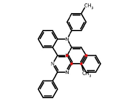 Cc1ccc(N(c2ccc(C)cc2)c2ccccc2-c2nc(-c3ccccc3)nc(-c3ccccc3)n2)cc1